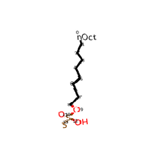 CCCCCCCCCCCCCCCCOS(=O)(O)=S